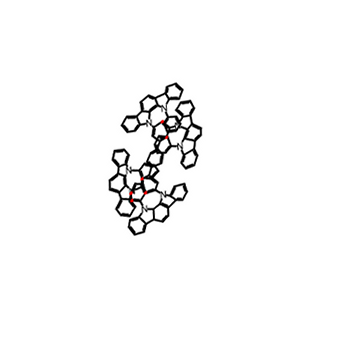 C1=CC2c3ccccc3N(c3ccccc3)C2c2c1c1ccccc1n2-c1cc(-c2ccc(-c3cc(-n4c5ccccc5c5ccc6c7ccccc7n(-c7ccccc7)c6c54)cc(-n4c5ccccc5c5ccc6c7ccccc7n(-c7ccccc7)c6c54)c3)cc2)cc(-n2c3ccccc3c3ccc4c5ccccc5n(-c5ccccc5)c4c32)c1